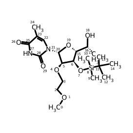 COCCO[C@@H]1[C@H](O[Si](C)(C)C(C)(C)C)[C@@H]([C@@H](C)O)O[C@H]1n1cc(C)c(=O)[nH]c1=O